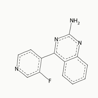 Nc1nc(-c2ccncc2F)c2ccccc2n1